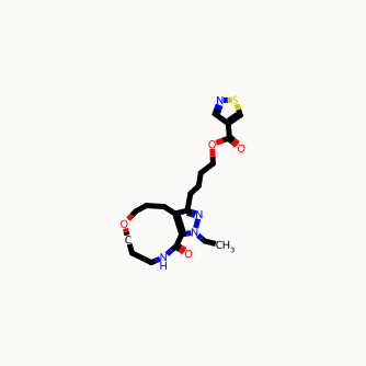 CCn1nc(CCCCOC(=O)c2cnsc2)c2c1C(=O)NCCCOCCC2